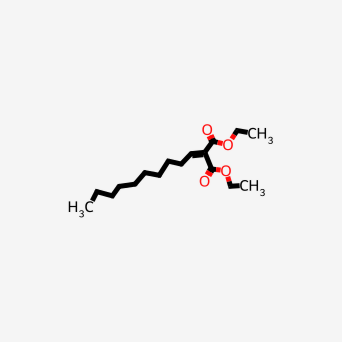 CCCCCCCCCC=C(C(=O)OCC)C(=O)OCC